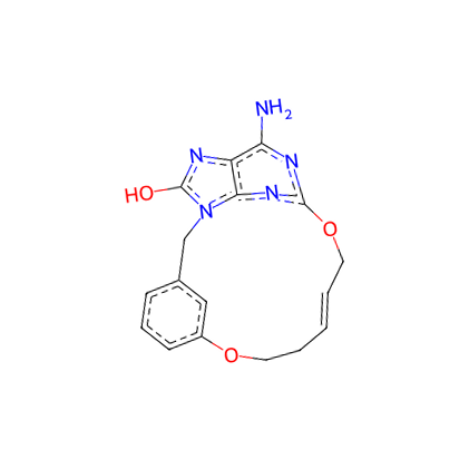 Nc1nc2nc3c1nc(O)n3Cc1cccc(c1)OCC/C=C/CO2